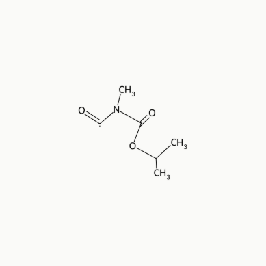 CC(C)OC(=O)N(C)[C]=O